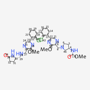 COC(=O)NC1CCN(Cc2ncc(-c3cccc(-c4cccc(-c5cnc(CNC[C@@H]6CCC(=O)N6)c(OC)n5)c4Cl)c3Cl)nc2OC)C1